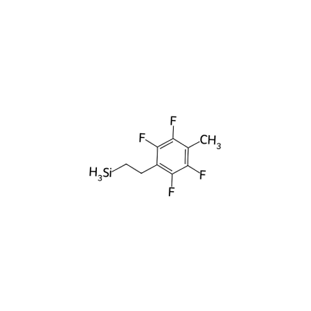 Cc1c(F)c(F)c(CC[SiH3])c(F)c1F